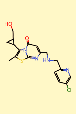 Cc1sc2nc(CNCc3ccc(Cl)cn3)cc(=O)n2c1C1CC1CO